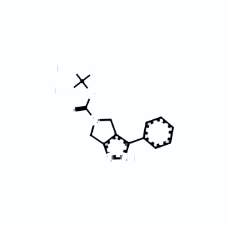 CC(C)(C)OC(=O)N1Cc2n[nH]c(-c3ccccc3)c2C1